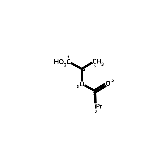 CC(C)C(=O)OC(C)C(=O)O